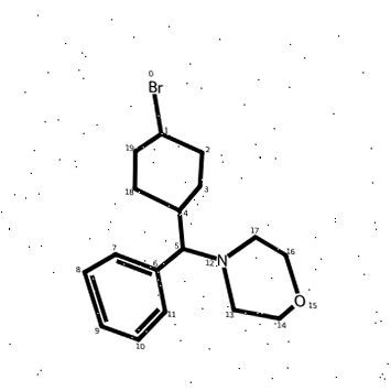 BrC1CCC(C(c2ccccc2)N2CCOCC2)CC1